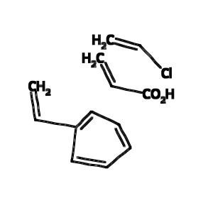 C=CC(=O)O.C=CCl.C=Cc1ccccc1